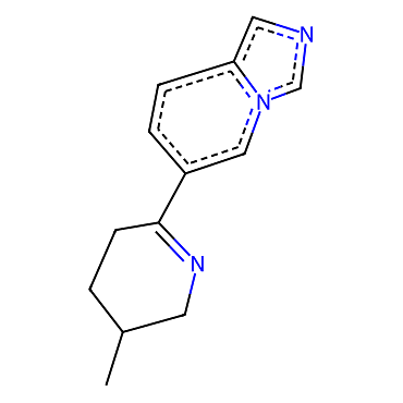 CC1CCC(c2ccc3cncn3c2)=NC1